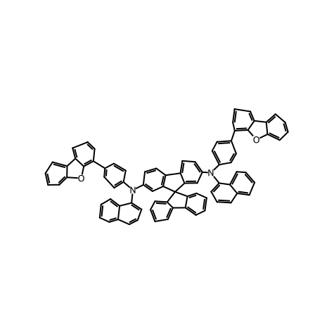 c1ccc2c(c1)-c1ccccc1C21c2cc(N(c3ccc(-c4cccc5c4oc4ccccc45)cc3)c3cccc4ccccc34)ccc2-c2ccc(N(c3ccc(-c4cccc5c4oc4ccccc45)cc3)c3cccc4ccccc34)cc21